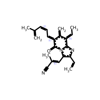 C=Cc1nc2/c(=C/C)c(=C)/c(=C\C=C/C(=C)C)c(=O)n2c1/C=C(\C)C#N